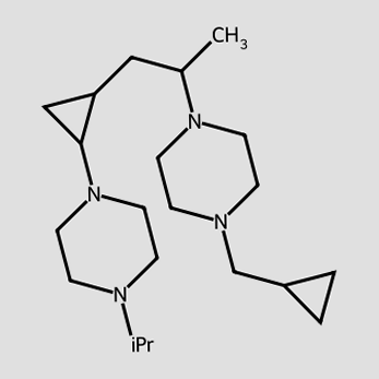 CC(C)N1CCN(C2CC2CC(C)N2CCN(CC3CC3)CC2)CC1